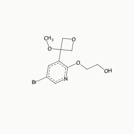 COC1(c2cc(Br)cnc2OCCO)COC1